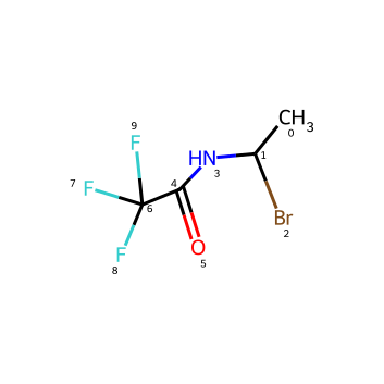 CC(Br)NC(=O)C(F)(F)F